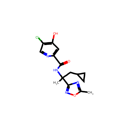 Cc1nc(C(C)(CC2CC2)NC(=O)c2cc(O)c(Cl)cn2)no1